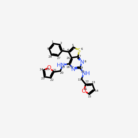 c1ccc(-c2csc3nc(NCc4ccco4)nc(NCc4ccco4)c23)cc1